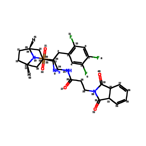 NC(Cc1cc(F)c(F)cc1F)[C@@H]1C[C@H]2CC[C@@H](C1)N2S(=O)(=O)CCNC(=O)CCN1C(=O)C2C=CC=CC2C1=O